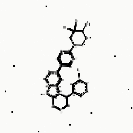 OC1CCN(c2ncc(-c3ccc4nc5n(c4c3)C(c3cccc(F)c3)COC5)cn2)CC1(F)F